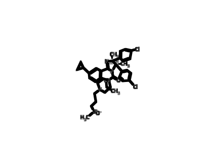 CCOc1ccc(C2CC2)cc1C1=N[C@@](C)(c2ccc(Cl)cc2)[C@@](C)(c2ccc(Cl)cc2)N1C(=O)N1CCN(CCC[S+](C)[O-])CC1